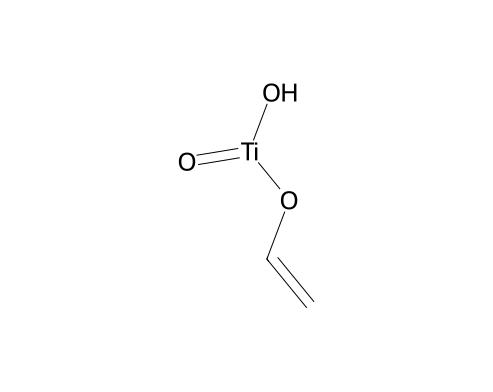 C=C[O][Ti](=[O])[OH]